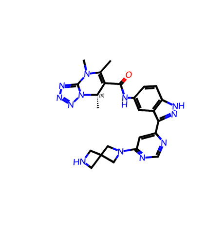 CC1=C(C(=O)Nc2ccc3[nH]nc(-c4cc(N5CC6(CNC6)C5)ncn4)c3c2)[C@H](C)n2nnnc2N1C